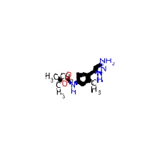 Cc1cc(NC(=O)OC(C)(C)C)ccc1-c1cc(N)n[nH]1